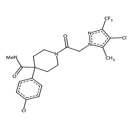 CNC(=O)C1(c2ccc(Cl)cc2)CCN(C(=O)Cn2nc(C(F)(F)F)c(Cl)c2C)CC1